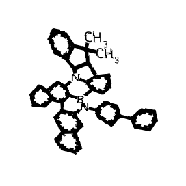 CC1(C)c2ccccc2C2C1c1cccc3c1N2c1cc2ccccc2c2c1B3N(c1ccc(-c3ccccc3)cc1)c1cc3ccccc3cc1-2